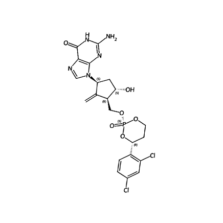 C=C1[C@H](CO[P@]2(=O)OCC[C@H](c3ccc(Cl)cc3Cl)O2)[C@@H](O)C[C@@H]1n1cnc2c(=O)[nH]c(N)nc21